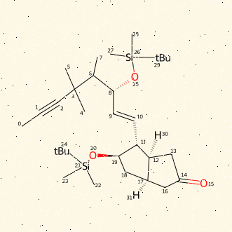 CC#CC(C)(C)C(C)[C@@H](/C=C/[C@@H]1[C@H]2CC(=O)C[C@H]2C[C@H]1O[Si](C)(C)C(C)(C)C)O[Si](C)(C)C(C)(C)C